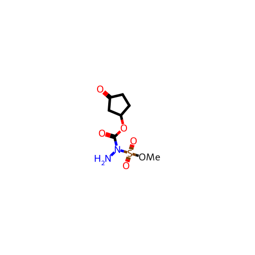 COS(=O)(=O)N(N)C(=O)OC1CCC(=O)C1